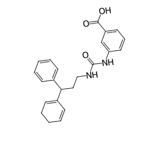 O=C(NCCC(C1=CCCC=C1)c1ccccc1)Nc1cccc(C(=O)O)c1